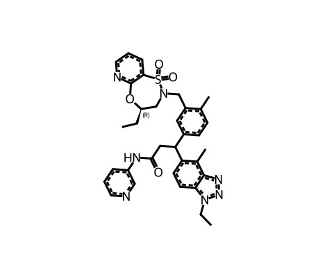 CC[C@@H]1CN(Cc2cc(C(CC(=O)Nc3cccnc3)c3ccc4c(nnn4CC)c3C)ccc2C)S(=O)(=O)c2cccnc2O1